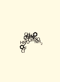 CC1(C)CC[C@@H](C(=O)NCc2cccc(Cl)c2F)N1C(O)Nc1cn(C(N)=O)c2ccccc12